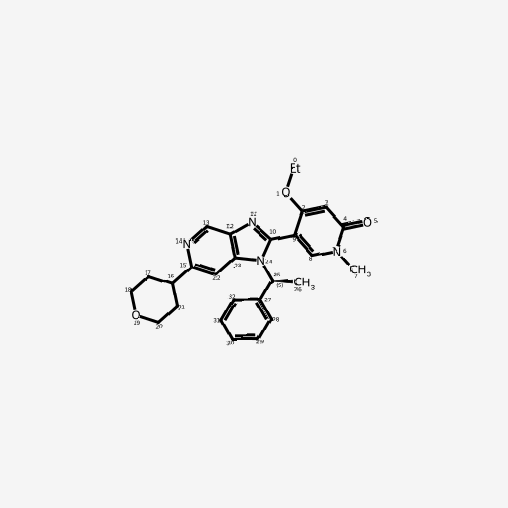 CCOc1cc(=O)n(C)cc1-c1nc2cnc(C3CCOCC3)cc2n1[C@@H](C)c1ccccc1